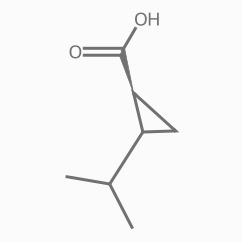 CC(C)C1C[C@@H]1C(=O)O